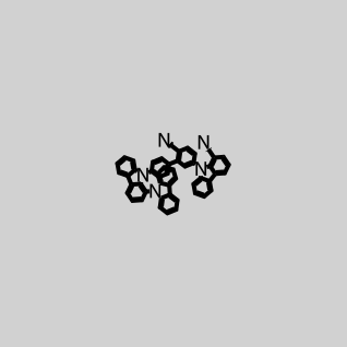 N#Cc1ccc(-n2c3ccccc3c3cccc(C#N)c32)cc1-c1ccc(-n2c3ccccc3c3cccc(-n4c5ccccc5c5ccccc54)c32)cc1